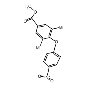 COC(=O)c1cc(Br)c(Oc2ccc([N+](=O)[O-])cc2)c(Br)c1